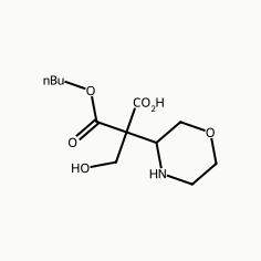 CCCCOC(=O)C(CO)(C(=O)O)C1COCCN1